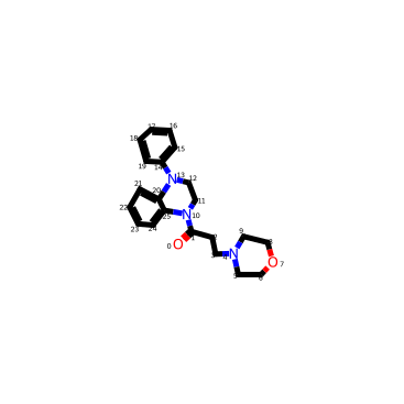 O=C(CCN1CCOCC1)N1CCN(c2ccccc2)c2ccccc21